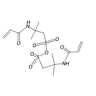 C=CC(=O)NC(C)(C)CS(=O)(=O)OS(=O)(=O)CC(C)(C)NC(=O)C=C